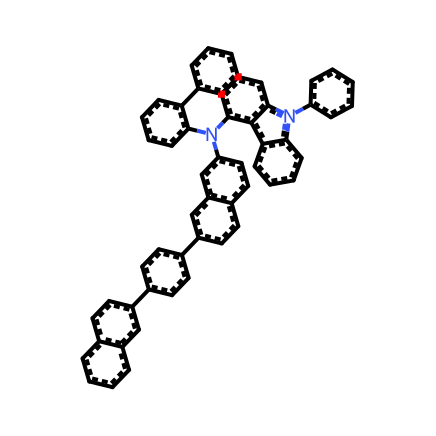 c1ccc(-c2ccccc2N(c2ccc3ccc(-c4ccc(-c5ccc6ccccc6c5)cc4)cc3c2)c2cccc3c2c2ccccc2n3-c2ccccc2)cc1